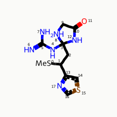 CSC(CC1(NC(=N)N)NCC(=O)N1)c1cscn1